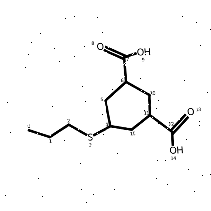 CCCSC1CC(C(=O)O)CC(C(=O)O)C1